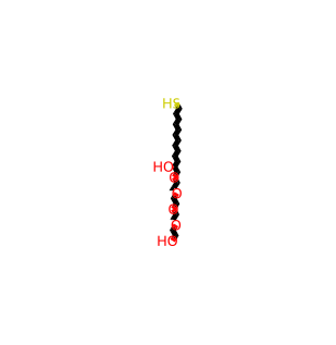 OCCOCCOCCOCCOCC(O)CCCCCCCCCCCS